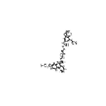 N#CCc1cc(CNCCCCOCCNc2nc3cc(C(=O)O)ccc3c3cnccc23)cc(OC(F)(F)F)c1